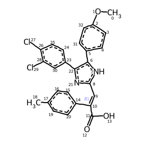 COc1ccc(-c2[nH]c(/C=C(/C(=O)O)c3ccc(C)cc3)nc2-c2ccc(Cl)c(Cl)c2)cc1